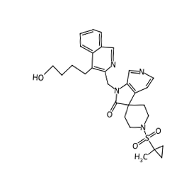 CC1(S(=O)(=O)N2CCC3(CC2)C(=O)N(Cc2ncc4ccccc4c2CCCCO)c2cnccc23)CC1